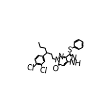 CCCC(CCn1nc2c(Sc3ccccc3)n[nH]c2cc1=O)c1ccc(Cl)c(Cl)c1